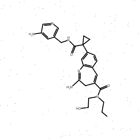 CCCN(CCO)C(=O)C1=Cc2ccc(C3(C(=O)NCc4cncc(N)c4)CC3)cc2N=C(N)C1